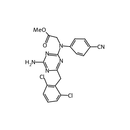 COC(=O)CN(c1ccc(C#N)cc1)c1nc(N)nc(Cc2c(Cl)cccc2Cl)n1